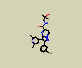 Cc1cc(-c2c(-c3cccc(C#N)c3)nn3ccc(C(=O)NCC(C)(C)O)nc23)cc(C)n1